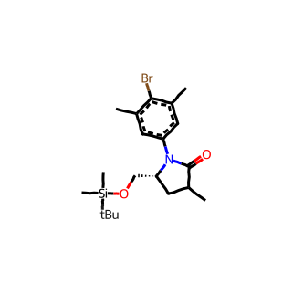 Cc1cc(N2C(=O)C(C)C[C@@H]2CO[Si](C)(C)C(C)(C)C)cc(C)c1Br